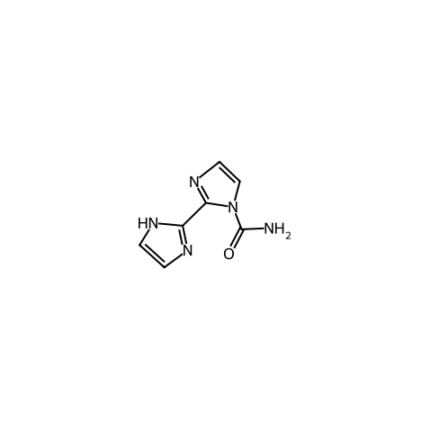 NC(=O)n1ccnc1-c1ncc[nH]1